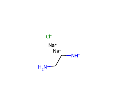 [Cl-].[NH-]CCN.[Na+].[Na+]